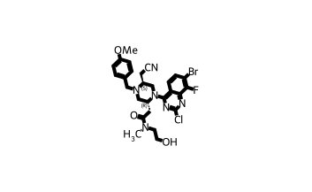 COc1ccc(CN2C[C@@H](CC(=O)N(C)CCO)N(c3nc(Cl)nc4c(F)c(Br)ccc34)C[C@@H]2CC#N)cc1